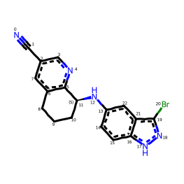 N#Cc1cnc2c(c1)CCC[C@@H]2Nc1ccc2[nH]nc(Br)c2c1